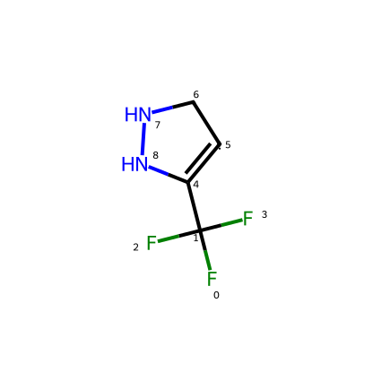 FC(F)(F)C1=[C]CNN1